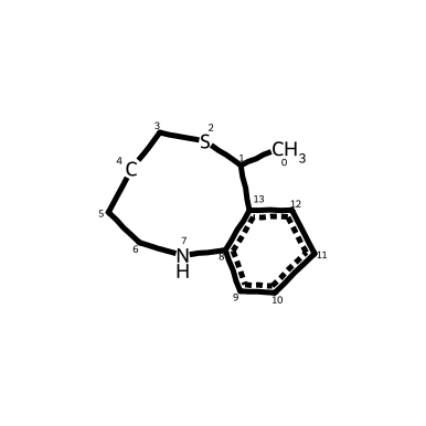 CC1SCCCCNc2ccccc21